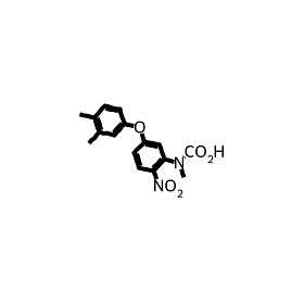 Cc1ccc(Oc2ccc([N+](=O)[O-])c(N(C)C(=O)O)c2)cc1C